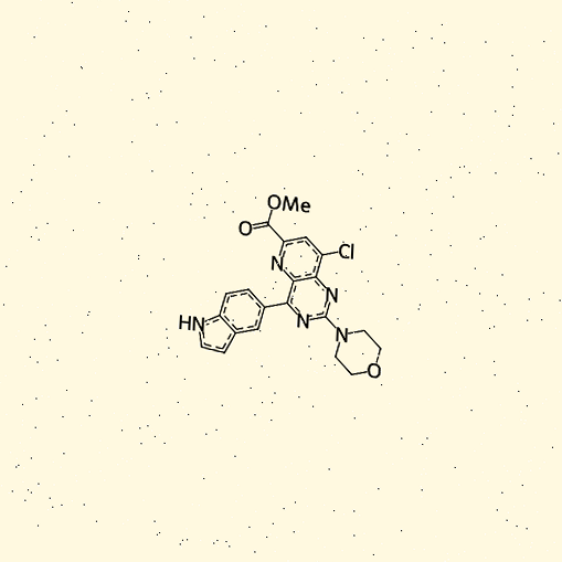 COC(=O)c1cc(Cl)c2nc(N3CCOCC3)nc(-c3ccc4[nH]ccc4c3)c2n1